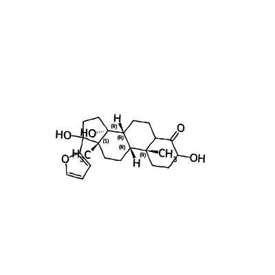 C[C@]12CCC(O)C(=O)C1CC[C@@H]1[C@H]2CC[C@]2(C)C(O)(c3ccco3)CC[C@@]12O